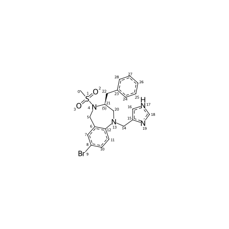 CS(=O)(=O)N1Cc2cc(Br)ccc2N(Cc2c[nH]cn2)C[C@@H]1Cc1ccccc1